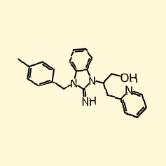 Cc1ccc(Cn2c(=N)n(C(CO)Cc3ccccn3)c3ccccc32)cc1